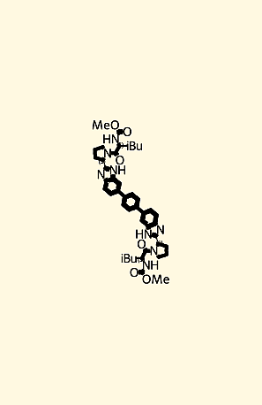 CCC(C)[C@H](NC(=O)OC)C(=O)N1CCC[C@H]1c1nc2ccc(-c3ccc(-c4ccc5nc([C@@H]6CCCN6C(=O)[C@@H](NC(=O)OC)C(C)CC)[nH]c5c4)cc3)cc2[nH]1